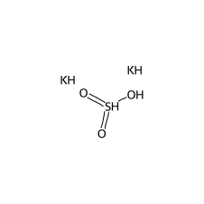 O=[SH](=O)O.[KH].[KH]